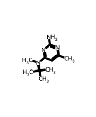 Cc1cc(N(C)C(C)(C)C)nc(N)n1